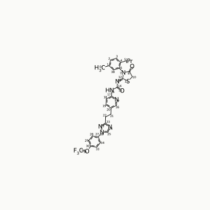 Cc1ccc(C(C)C)c(N2C(=O)CSC2=NC(=O)Nc2ccc(CCc3ncn(-c4ccc(OC(F)(F)F)cc4)n3)cn2)c1